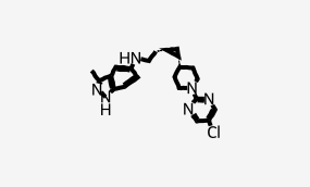 Cc1n[nH]c2ccc(NCC[C@@H]3C[C@@H]3C3CCN(c4ncc(Cl)cn4)CC3)cc12